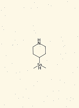 [CH3][SnH]([CH3])[CH]1CCNCC1